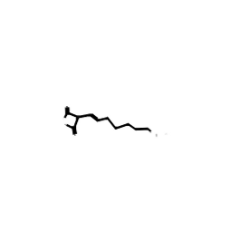 CCCCCCCCCCCC/C=C/C1C(=O)OC1=O